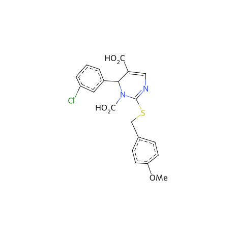 COc1ccc(CSC2=NC=C(C(=O)O)C(c3cccc(Cl)c3)N2C(=O)O)cc1